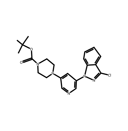 CC(C)(C)OC(=O)N1CCN(c2cncc(-n3nc(Cl)c4ccccc43)c2)CC1